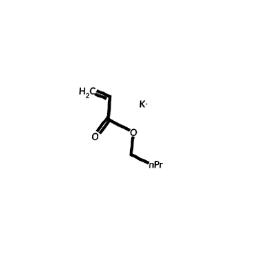 C=CC(=O)OCCCC.[K]